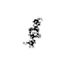 Nc1nc2c(ncn2[C@@H]2O[C@@H]3COP(=O)(O)OC4[C@@H](CO[P@](=O)(S)O[C@H]2C3O)O[C@@H](n2cnc3c(N)ccnc32)[C@H]4F)c(=O)[nH]1